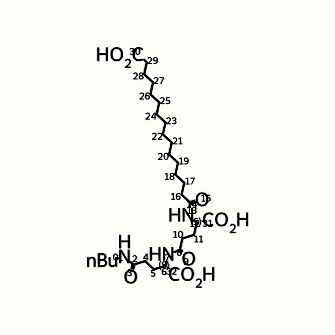 CCCCNC(=O)CC[C@H](NC(=O)CC[C@H](NC(=O)CCCCCCCCCCCCCCC(=O)O)C(=O)O)C(=O)O